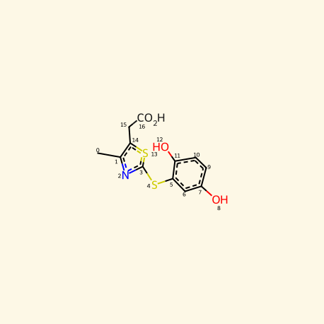 Cc1nc(Sc2cc(O)ccc2O)sc1CC(=O)O